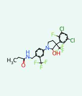 CCC(=O)NCc1ccc(N2CCC(c3cc(Cl)cc(Cl)c3F)(C(F)(F)F)C2O)cc1C(F)(F)F